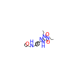 CCCn1c(=O)c2[nH]c(C34CCC(CNCc5ccco5)(CC3)CC4)nc2n(CCC)c1=O